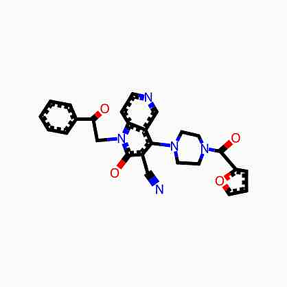 N#Cc1c(N2CCN(C(=O)c3ccco3)CC2)c2cnccc2n(CC(=O)c2ccccc2)c1=O